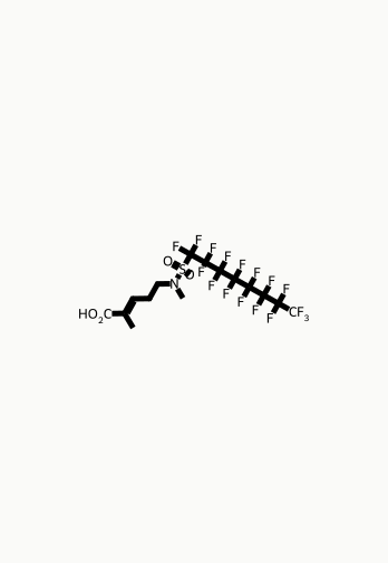 CC(=CCCN(C)S(=O)(=O)C(F)(F)C(F)(F)C(F)(F)C(F)(F)C(F)(F)C(F)(F)C(F)(F)C(F)(F)F)C(=O)O